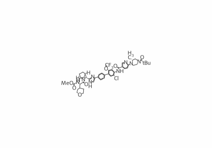 COC(=O)N[C@H](C(=O)N1[C@@H]2CC[C@@H](C2)[C@H]1c1nc(-c2ccc(-c3cc(Cl)c(NC(=O)c4ccc(N5CCN(C(=O)C(C)(C)C)C[C@H]5C)nc4)cc3OC(F)(F)F)cc2)c[nH]1)C1CCOCC1